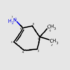 CC1(C)CCC=C(N)C1